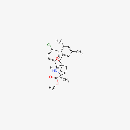 COC(=O)[C@@]1(C)N[C@@H](c2ccc(Cl)cc2)C2(C(=O)c3cc(C)cc(C)c3)CC1C2